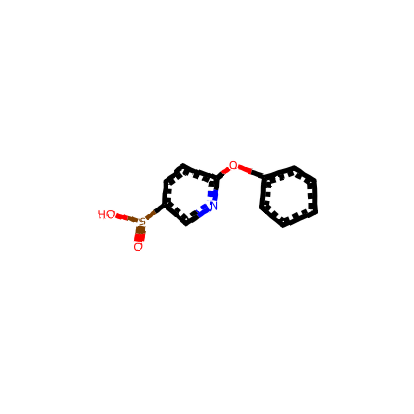 O=S(O)c1ccc(Oc2ccccc2)nc1